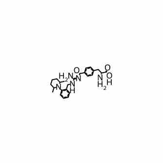 CC1CCCC(C)N1c1ccccc1CN/C(N)=N/C(=O)c1ccc(C[C@H](N)C(=O)O)cc1